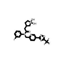 O=C(CC1CCS(O)(O)C1)N(Cc1ccc(-c2noc(C(F)(F)F)n2)cn1)c1cccc(F)c1